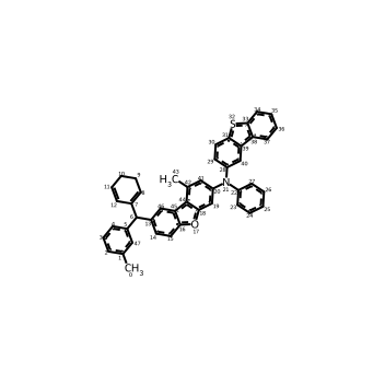 Cc1cccc(C(C2=CCCC=C2)c2ccc3oc4cc(N(c5ccccc5)c5ccc6sc7ccccc7c6c5)cc(C)c4c3c2)c1